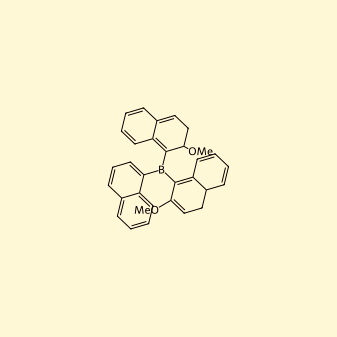 COC1=CCC2C=CC=CC2=C1B(C1=c2ccccc2=CCC1OC)c1cccc2ccccc12